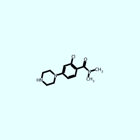 CN(C)C(=O)c1ccc(N2CCNCC2)cc1Cl